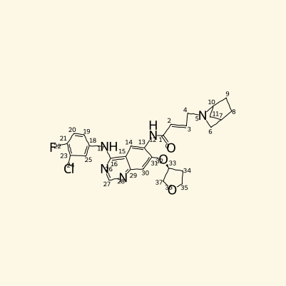 O=C(/C=C/CN1CC2CCC1C2)Nc1cc2c(Nc3ccc(F)c(Cl)c3)ncnc2cc1O[C@H]1CCOC1